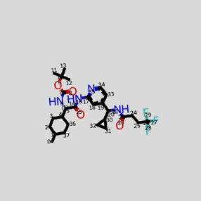 CC1CCC([C@H](NC(=O)OC(C)(C)C)C(=O)Nc2cc(C(NC(=O)CCC(F)(F)F)C3CC3)ccn2)CC1